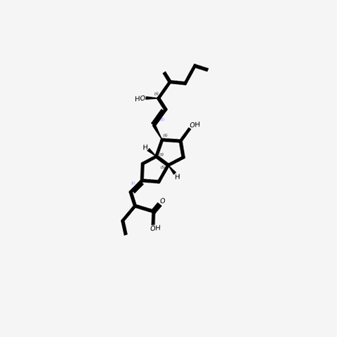 CCCC(C)[C@H](O)/C=C/[C@H]1C(O)C[C@@H]2C/C(=C\C(CC)C(=O)O)C[C@@H]21